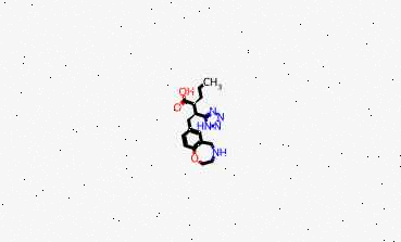 CCC[C@H](C(=O)O)[C@H](Cc1ccc2c(c1)CNCCO2)c1nnn[nH]1